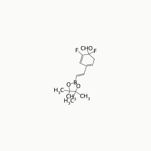 CC1(C)OB(C=CC2=CCC(F)(C=O)C(F)=C2)OC1(C)C